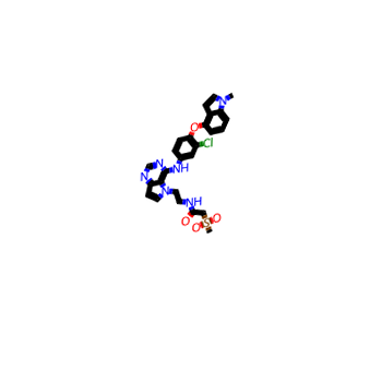 Cn1ccc2c(Oc3ccc(Nc4ncnc5ccn(CCNC(=O)CS(C)(=O)=O)c45)cc3Cl)cccc21